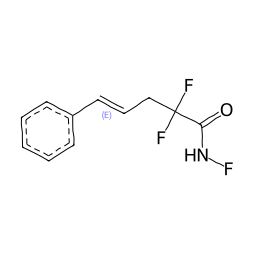 O=C(NF)C(F)(F)C/C=C/c1ccccc1